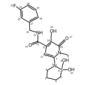 Cn1c(N2CCCCS2(O)O)nc(C(=O)NCc2cccc(F)c2)c(O)c1=O